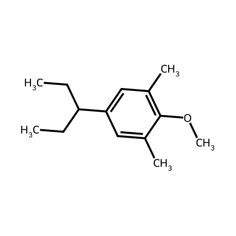 CCC(CC)c1cc(C)c(OC)c(C)c1